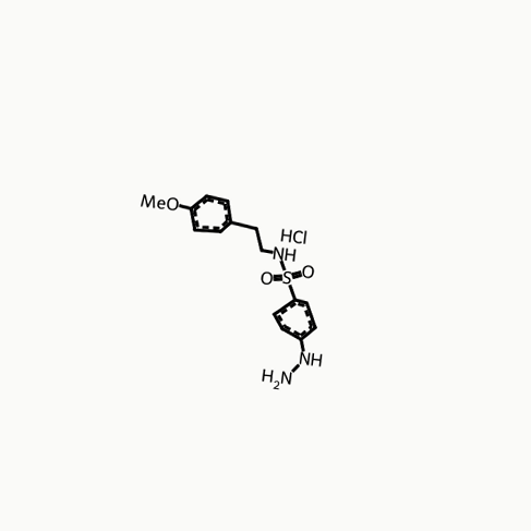 COc1ccc(CCNS(=O)(=O)c2ccc(NN)cc2)cc1.Cl